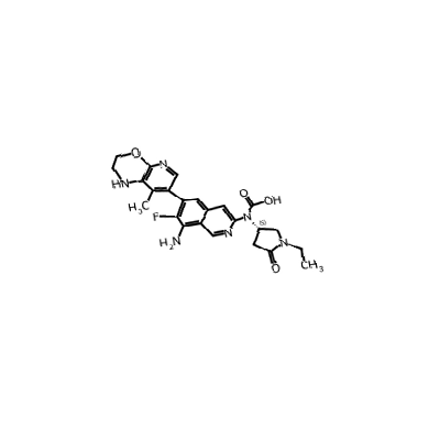 CCN1C[C@@H](N(C(=O)O)c2cc3cc(-c4cnc5c(c4C)NCCO5)c(F)c(N)c3cn2)CC1=O